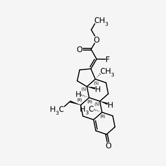 CCOC(=O)C(F)=C1CC[C@H]2[C@@H]3[C@H](CC)CC4=CC(=O)CC[C@]4(C)[C@H]3CC[C@]12C